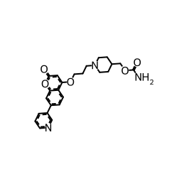 NC(=O)OCC1CCN(CCCOc2cc(=O)oc3cc(-c4cccnc4)ccc23)CC1